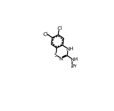 CC(C)NC1=NSc2cc(Cl)c(Cl)cc2N1